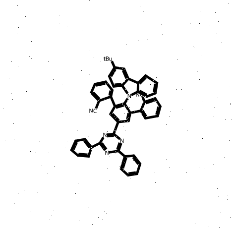 CC(C)(C)c1ccc2c(c1)c1ccccc1n2-c1c(-c2ccccc2C#N)cc(-c2nc(-c3ccccc3)nc(-c3ccccc3)n2)cc1-c1ccccc1C#N